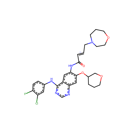 O=C(/C=C/CN1CCCOCC1)Nc1cc2c(Nc3ccc(F)c(Cl)c3)ncnc2cc1OC1CCCOC1